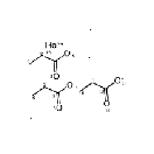 CCC(=O)[O-].CCC(=O)[O-].CCC(=O)[O-].[Ho+3]